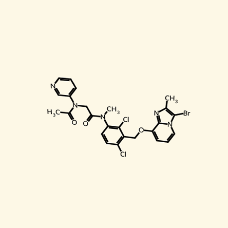 CC(=O)N(CC(=O)N(C)c1ccc(Cl)c(COc2cccn3c(Br)c(C)nc23)c1Cl)c1cccnc1